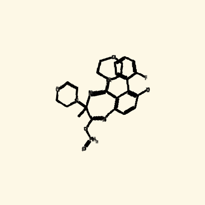 CC1(N2CCOCC2)N=C(N2CCOCC2)c2c(ccc(Cl)c2-c2ccccc2F)N=C1O[PH2]=O